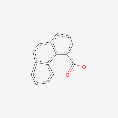 [O]C(=O)c1cccc2ccc3ccccc3c12